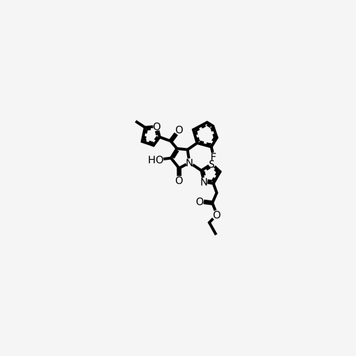 CCOC(=O)Cc1csc(N2C(=O)C(O)=C(C(=O)c3ccc(C)o3)C2c2ccccc2F)n1